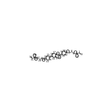 C=CC(=O)OCCCOc1ccc(C(=O)Oc2ccc(-c3ccc(OCCCOC(=O)C=C)cc3)cc2C)cc1